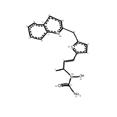 CC(C=Cc1ccc(Cc2ccc3ccccc3n2)s1)N(O)C(N)=O